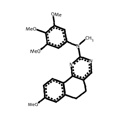 COc1ccc2c(c1)CCc1cnc(N(C)c3cc(OC)c(OC)c(OC)c3)nc1-2